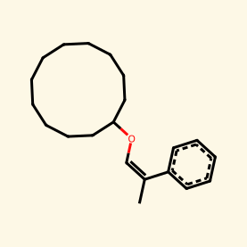 CC(=COC1CCCCCCCCCCC1)c1ccccc1